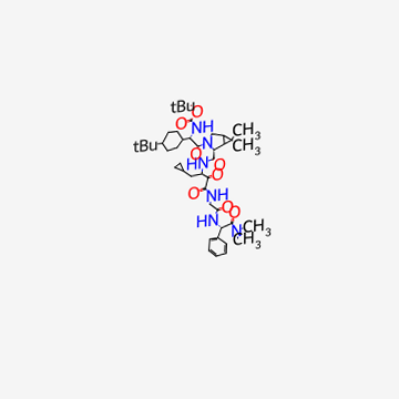 CN(C)C(=O)[C@@H](NC(=O)CNC(=O)C(=O)C(CC1CC1)NC(=O)[C@@H]1C2C(CN1C(=O)[C@@H](NC(=O)OC(C)(C)C)C1CCC(C(C)(C)C)CC1)C2(C)C)c1ccccc1